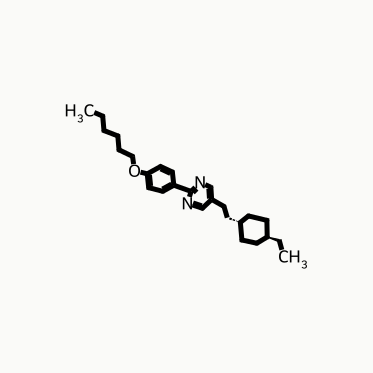 CCCCCCOc1ccc(-c2ncc(CC[C@H]3CC[C@H](CC)CC3)cn2)cc1